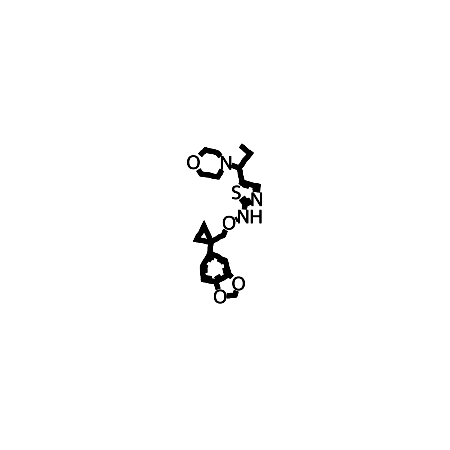 CCC(c1cnc(NOCC2(c3ccc4c(c3)OCO4)CC2)s1)N1CCOCC1